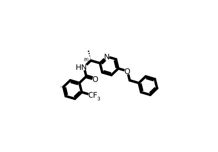 C[C@@H](NC(=O)c1c[c]ccc1C(F)(F)F)c1ccc(OCc2ccccc2)cn1